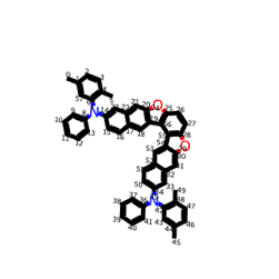 Cc1ccc(C)c(N(c2ccccc2)c2ccc3cc4c(cc3c2)oc2ccc3oc5cc6cc(N(c7ccccc7)c7cc(C)ccc7C)ccc6cc5c3c24)c1